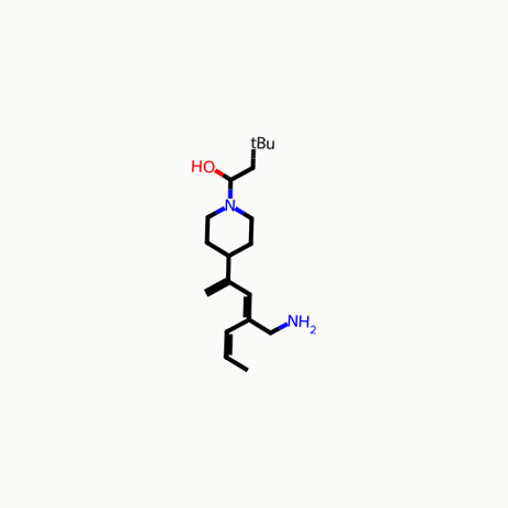 C=C(/C=C(\C=C/C)CN)C1CCN(C(O)CC(C)(C)C)CC1